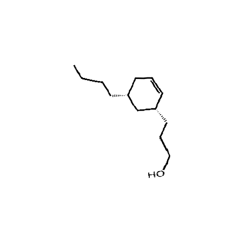 CCCC[C@@H]1CC=C[C@H](CCCO)C1